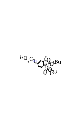 CC(C)(C)OC(=O)N(C(=O)OC(C)(C)C)c1ccc(/C=C/C(=O)O)cc1Cl